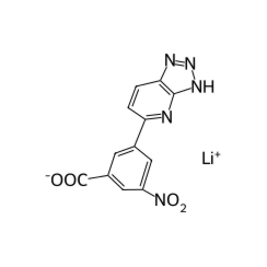 O=C([O-])c1cc(-c2ccc3nn[nH]c3n2)cc([N+](=O)[O-])c1.[Li+]